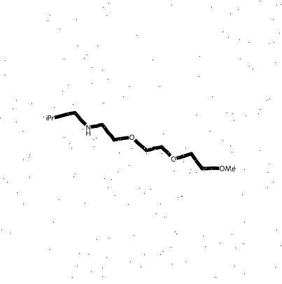 COCCOCCOCCNCC(C)C